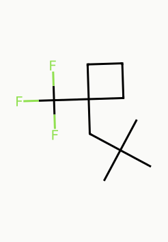 CC(C)(C)CC1(C(F)(F)F)CCC1